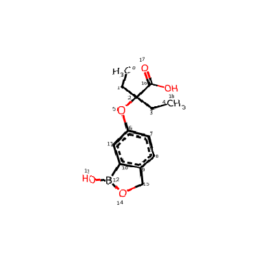 CCC(CC)(Oc1ccc2c(c1)B(O)OC2)C(=O)O